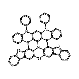 c1ccc(N2c3ccccc3B3c4c2cc2c5c4N4c6c(cc7c(oc8ccccc87)c63)Oc3cc6c(oc7ccccc76)c(c34)B5c3ccccc3N2c2ccccc2)cc1